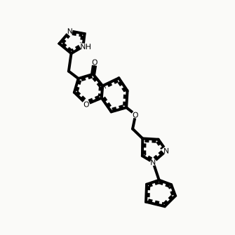 O=c1c(Cc2cnc[nH]2)coc2cc(OCc3cnn(-c4ccccc4)c3)ccc12